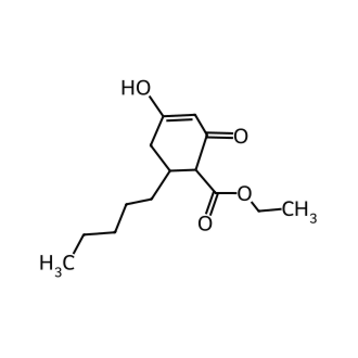 CCCCCC1CC(O)=CC(=O)C1C(=O)OCC